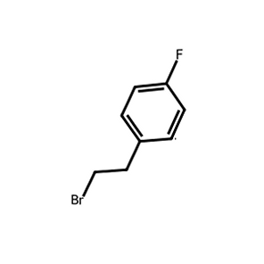 Fc1c[c]c(CCBr)cc1